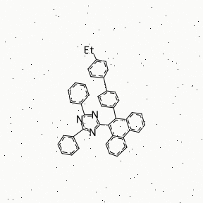 CCc1ccc(-c2ccc(-c3c(-c4nc(-c5ccccc5)nc(-c5ccccc5)n4)c4ccccc4c4ccccc34)cc2)cc1